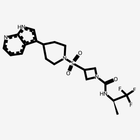 C[C@@H](NC(=O)N1CC(S(=O)(=O)N2CCC(c3c[nH]c4ncccc34)CC2)C1)C(F)(F)F